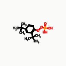 CC(C)(C)c1ccc(OOP(=O)(O)O)c(C(C)(C)C)c1